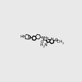 COc1ccc2c(N)c(C(=O)N[C@@H]3CCc4cc(N5C6CCC5CNC6)ccc4C3)sc2n1